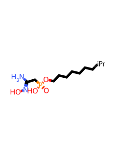 CC(C)CCCCCCCOP(=O)(O)CC(N)=NO